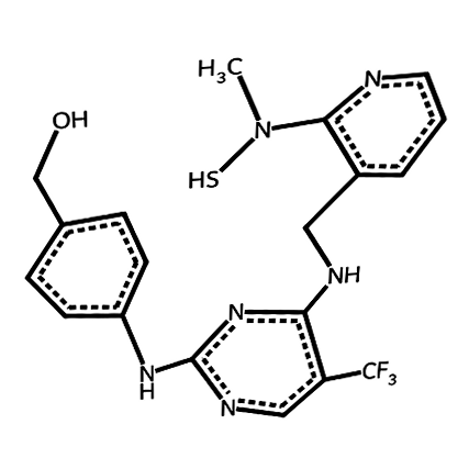 CN(S)c1ncccc1CNc1nc(Nc2ccc(CO)cc2)ncc1C(F)(F)F